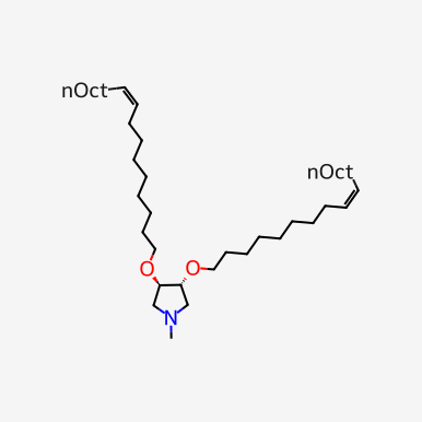 CCCCCCCC/C=C\CCCCCCCCO[C@@H]1CN(C)C[C@H]1OCCCCCCCC/C=C\CCCCCCCC